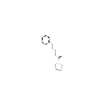 O=C[C@@H]1CCCN1C(=O)CCCCc1ccccc1